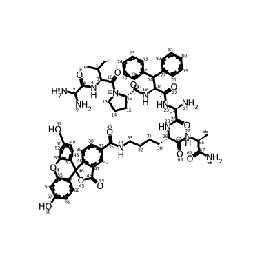 CC(C)[C@H](NC(=O)C(N)N)C(=O)N1CCC[C@H]1C(=O)N[C@H](C(=O)N[C@@H](N)C(=O)N[C@@H](CCCCNC(=O)c1ccc2c(c1)C(=O)OC21c2ccc(O)cc2Oc2cc(O)ccc21)C(=O)N[C@@H](C)C(N)=O)C(c1ccccc1)c1ccccc1